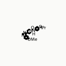 COc1ccc2ncnc(C3CCN(C(=O)Nc4ccc(OC(C)C)cc4)CC3)c2c1